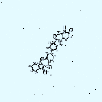 Cc1c(C(=O)N2CCC(c3ccc4c(c3)CN(C3CCC(=O)NC3=O)C4=O)CC2)n(C)c2ccccc12